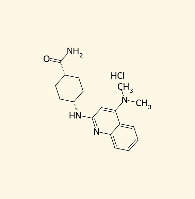 CN(C)c1cc(N[C@H]2CC[C@@H](C(N)=O)CC2)nc2ccccc12.Cl